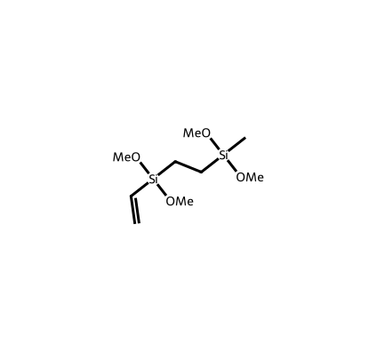 C=C[Si](CC[Si](C)(OC)OC)(OC)OC